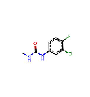 CNC(=O)Nc1ccc(F)c(Cl)c1